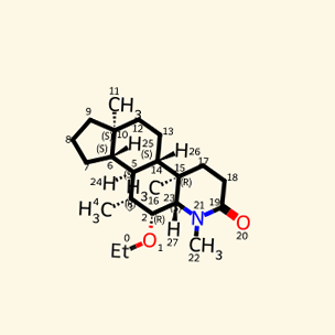 CCO[C@@H]1[C@H](C)[C@H]2[C@@H]3CCC[C@@]3(C)CC[C@@H]2[C@@]2(C)CCC(=O)N(C)[C@H]12